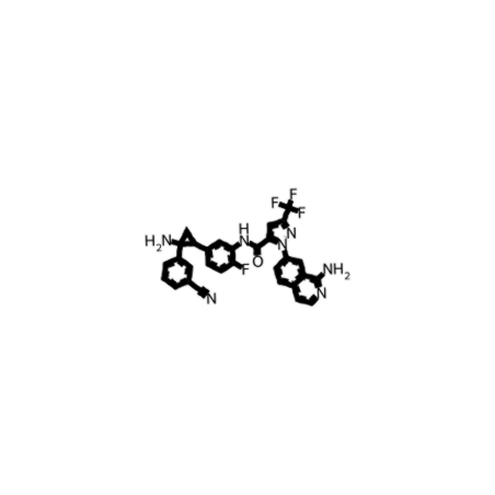 N#Cc1cccc(C2(N)CC2c2ccc(F)c(NC(=O)c3cc(C(F)(F)F)nn3-c3ccc4ccnc(N)c4c3)c2)c1